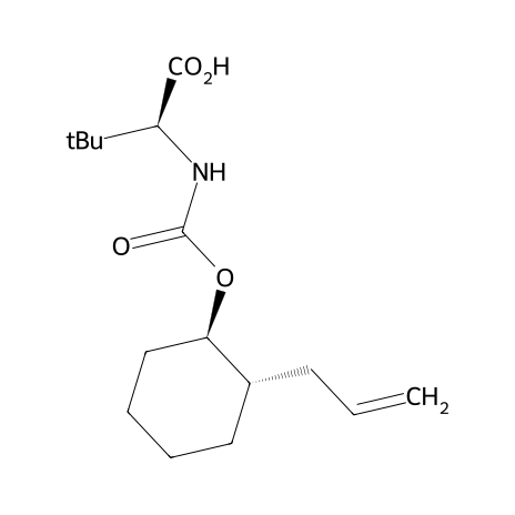 C=CC[C@@H]1CCCC[C@H]1OC(=O)N[C@H](C(=O)O)C(C)(C)C